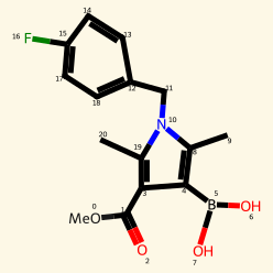 COC(=O)c1c(B(O)O)c(C)n(Cc2ccc(F)cc2)c1C